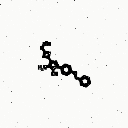 CCCCO[C@H]1C[C@@H](c2cn(-c3ccc(OCc4ccccc4)cc3)c(C#N)c2N)C1